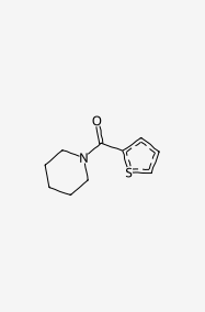 O=C(c1cccs1)N1CCCCC1